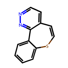 C1=Cc2ccnnc2-c2ccccc2S1